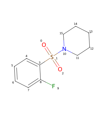 O=S(=O)(c1ccccc1F)N1CC[CH]CC1